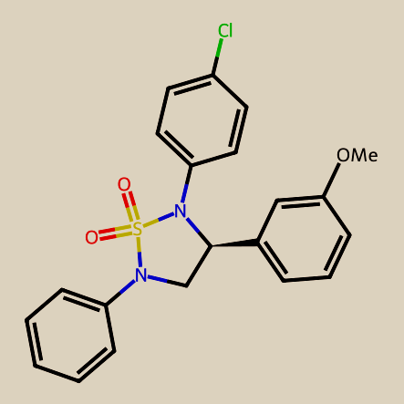 COc1cccc([C@H]2CN(c3ccccc3)S(=O)(=O)N2c2ccc(Cl)cc2)c1